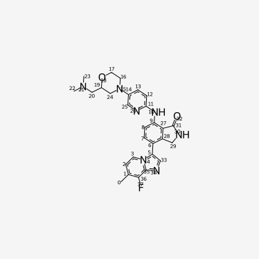 Cc1ccn2c(-c3ccc(Nc4ccc(N5CCOC(CN(C)C)C5)cn4)c4c3CNC4=O)cnc2c1F